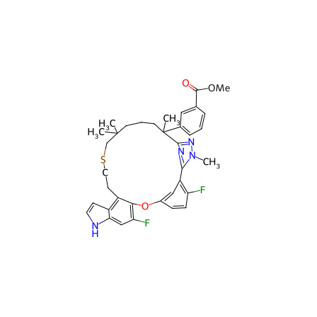 COC(=O)c1cccc(C2(C)CCCC(C)(C)CSCCc3c(c(F)cc4[nH]ccc34)Oc3ccc(F)c(c3)-c3nc2nn3C)c1